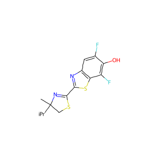 CC(C)C1(C)CSC(c2nc3cc(F)c(O)c(F)c3s2)=N1